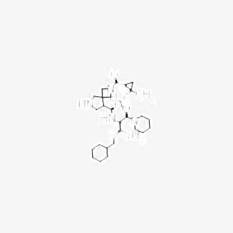 C[C@@H](OCC1CCCCC1)[C@H](NC(=O)C1CNCC12CN(C(=O)[C@H]1CC1(C)C)C2)C(=O)N1CCCCC1